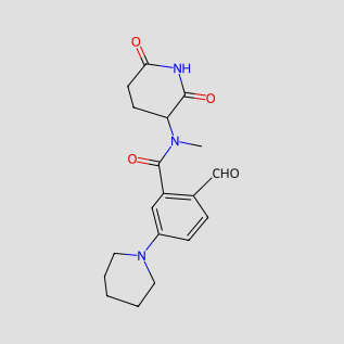 CN(C(=O)c1cc(N2CCCCC2)ccc1C=O)C1CCC(=O)NC1=O